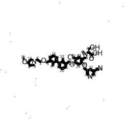 Cc1c(COCCN2CC[C@@H](OI)C2)cccc1-c1cccc(COc2cc(OCc3cncc(C#N)c3)c(CN(C)[C@@H](CO)C(=O)O)cc2Cl)c1C